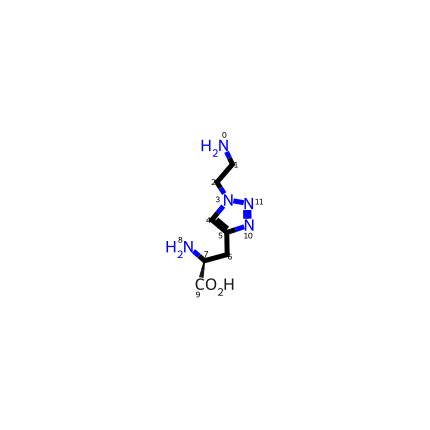 NCCn1cc(C[C@H](N)C(=O)O)nn1